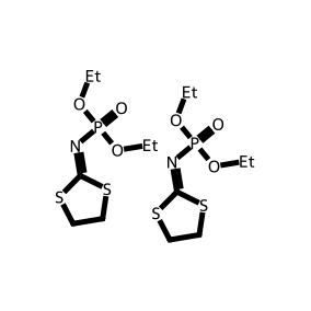 CCOP(=O)(N=C1SCCS1)OCC.CCOP(=O)(N=C1SCCS1)OCC